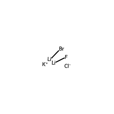 [Cl-].[K+].[Li][Br].[Li][F]